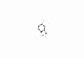 CC(=O)n1nnc2cc([N+](=O)[O-])ccc21